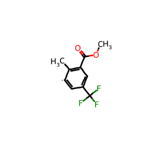 COC(=O)c1cc(C(F)(F)F)c[c]c1C